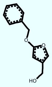 OCc1coc(OCc2ccccc2)c1